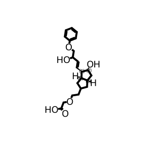 O=C(O)COCCC1C[C@H]2C[C@@H](O)[C@H](C=CC(O)COc3ccccc3)[C@@H]2C1